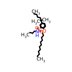 CC[CH]CNS(=O)(=O)c1cc(C(C)(C)CCCCC)ccc1OCCCCCCCCCCCC